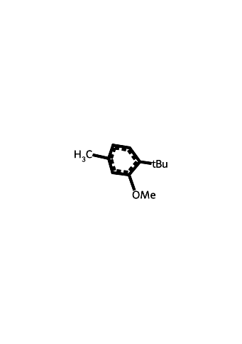 COc1cc(C)ccc1C(C)(C)C